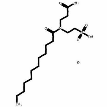 CCCCCCCCCCCC(=O)N(CCC(=O)O)CCS(=O)(=O)O.[K]